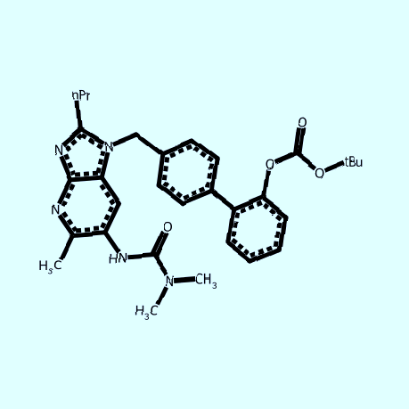 CCCc1nc2nc(C)c(NC(=O)N(C)C)cc2n1Cc1ccc(-c2ccccc2OC(=O)OC(C)(C)C)cc1